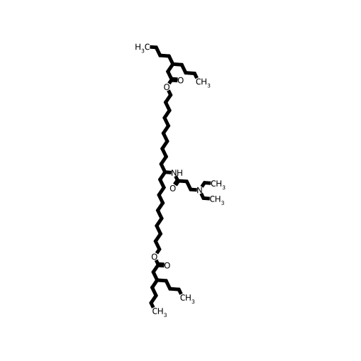 CCCCC(CCCC)CC(=O)OCCCCCCCCCCC(CCCCCCCCCCOC(=O)CC(CCCC)CCCC)NC(=O)CCN(CC)CC